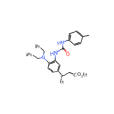 CCOC(=O)CC(CC)c1ccc(N(CC(C)C)CC(C)C)c(NC(=O)Nc2ccc(C)cc2)c1